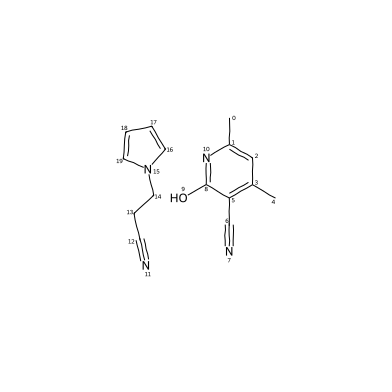 Cc1cc(C)c(C#N)c(O)n1.N#CCCn1cccc1